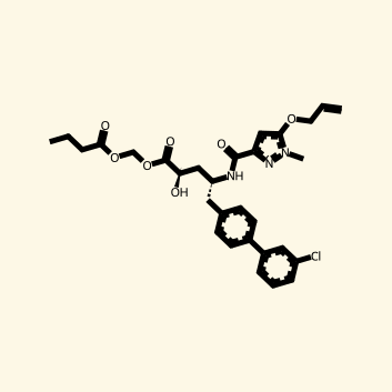 C=CCOc1cc(C(=O)N[C@H](Cc2ccc(-c3cccc(Cl)c3)cc2)C[C@@H](O)C(=O)OCOC(=O)CCC)nn1C